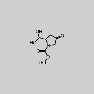 CC(C)(C)OC(=O)N1CC(=O)C[C@H]1C(O)O